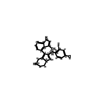 Cc1c[nH]c2nccc(-c3c(Nc4ccc(Cl)cc4F)nn4c3CNCC4)c12